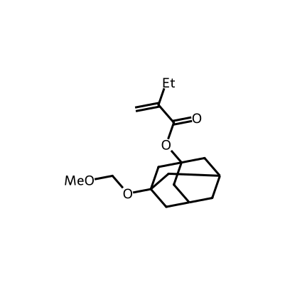 C=C(CC)C(=O)OC12CC3CC(CC(OCOC)(C3)C1)C2